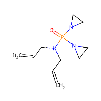 C=CCN(CC=C)P(=O)(N1CC1)N1CC1